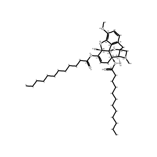 CCCCCCCCCCCC(=O)OC1=CC[C@@]2(OC(=O)CCCCCCCCCCC)[C@@H]3N(C)CC34Cc3ccc(OC)c5c3[C@@]2(C4)[C@H]1O5